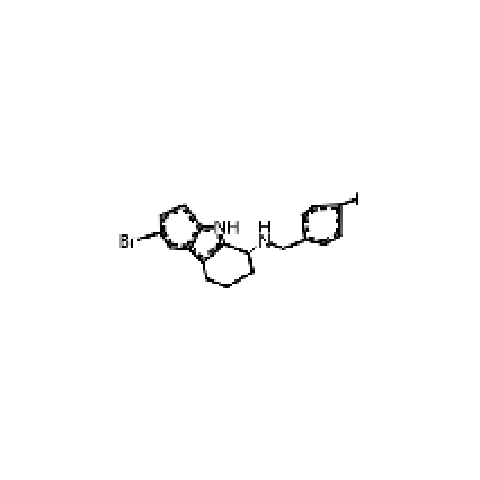 Brc1ccc2[nH]c3c(c2c1)CCC[C@H]3NCc1ccc(I)cc1